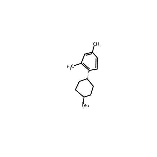 Cc1ccc([C@H]2CC[C@H](C(C)(C)C)CC2)c(C(F)(F)F)c1